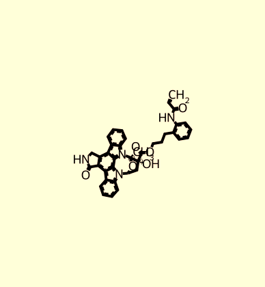 C=CC(=O)Nc1ccccc1CCCOC(=O)[C@@]1(O)CC2O[C@]1(C)n1c3ccccc3c3c4c(c5c6ccccc6n2c5c31)C(=O)NC4